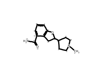 CN1CCC(C2Cc3c(cccc3C(N)=O)O2)CC1